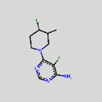 CC1CN(c2ncnc(N)c2F)CC[C@H]1F